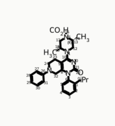 CC(C)c1ccccc1-n1c2c(c(N3C[C@@H](C)N(C(=O)O)C[C@@H]3C)nc1=O)CCN(c1ccccc1)C2